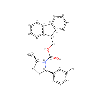 Cc1cccc([C@H]2CC[C@@H](C(=O)O)N2C(=O)OCC2c3ccccc3-c3ccccc32)c1